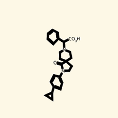 O=C(O)C(c1ccccc1)N1CCC2(CCN(c3ccc(C4CC4)cc3)C2=O)CC1